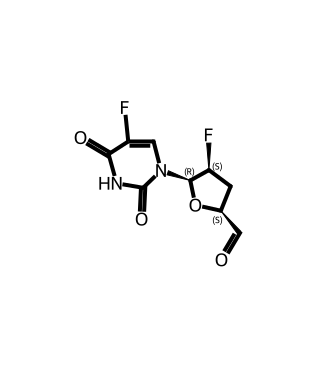 O=C[C@@H]1C[C@H](F)[C@H](n2cc(F)c(=O)[nH]c2=O)O1